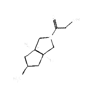 CC1C[C@@H]2CN(C(=O)CO)C[C@@H]2C1